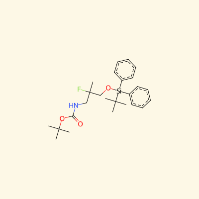 CC(F)(CNC(=O)OC(C)(C)C)CO[Si](c1ccccc1)(c1ccccc1)C(C)(C)C